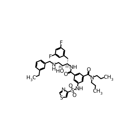 CCCN(CCC)C(=O)c1cc(NS(=O)(=O)c2cscn2)cc(C(=O)N[C@@H](Cc2cc(F)cc(F)c2)[C@H](O)CNCc2cccc(CC)c2)c1